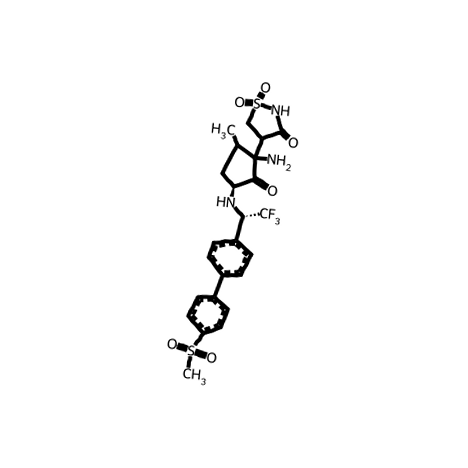 CC1C[C@H](N[C@@H](c2ccc(-c3ccc(S(C)(=O)=O)cc3)cc2)C(F)(F)F)C(=O)C1(N)C1CS(=O)(=O)NC1=O